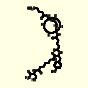 NC(=O)[C@H](CS)NC(=O)CCCCCNC(=O)[C@H](Cc1ccc(O)cc1)NC(=O)CCCC(=O)N[C@]12CNCCNC[C@](NC(=O)CCCC(=O)O)(CNCCNC1)NCCNC2